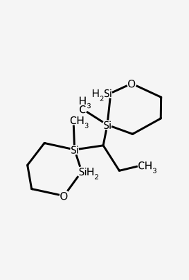 CCC([Si]1(C)CCCO[SiH2]1)[Si]1(C)CCCO[SiH2]1